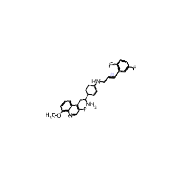 COc1cccc2c(CC(N)C3CCC(NC/C=C/c4cc(F)ccc4F)CC3)c(F)cnc12